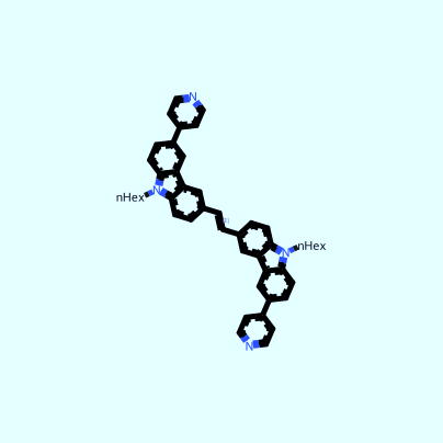 CCCCCCn1c2ccc(/C=C/c3ccc4c(c3)c3cc(-c5ccncc5)ccc3n4CCCCCC)cc2c2cc(-c3ccncc3)ccc21